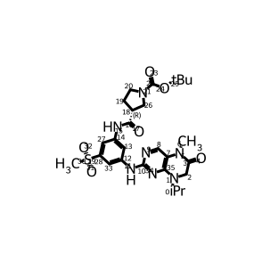 CC(C)N1CC(=O)N(C)c2cnc(Nc3cc(NC(=O)[C@@H]4CCN(C(=O)OC(C)(C)C)C4)cc(S(C)(=O)=O)c3)nc21